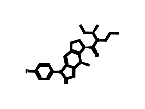 CCCN(C(=O)[C@H]1CCC2=C1[C@@H](C)C1=CNN(c3ccc(F)cc3)C1=C2)[C@H](C)CC